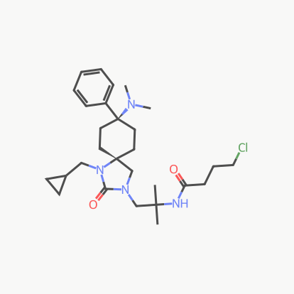 CN(C)[C@]1(c2ccccc2)CC[C@@]2(CC1)CN(CC(C)(C)NC(=O)CCCCl)C(=O)N2CC1CC1